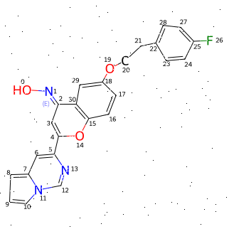 O/N=c1\cc(-c2cc3cccn3cn2)oc2ccc(OCCc3ccc(F)cc3)cc12